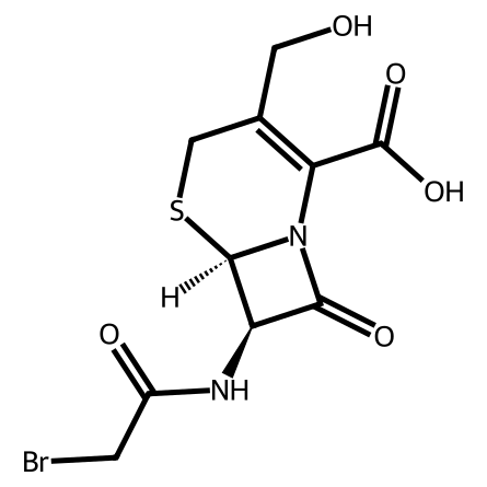 O=C(CBr)N[C@@H]1C(=O)N2C(C(=O)O)=C(CO)CS[C@H]12